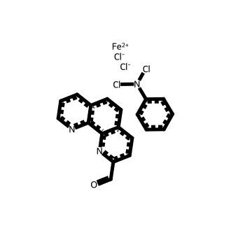 ClN(Cl)c1ccccc1.O=Cc1ccc2ccc3cccnc3c2n1.[Cl-].[Cl-].[Fe+2]